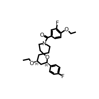 CCOc1ccc(C(=O)N2CCC3(CC2)C[C@H](OCC)C[C@H](c2ccc(F)cc2)O3)cc1F